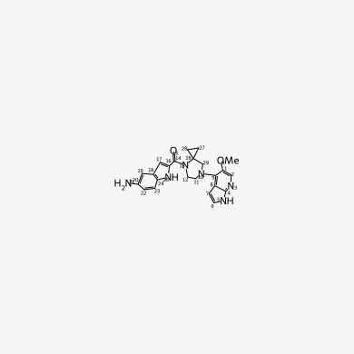 COc1cnc2[nH]ccc2c1N1CCN(C(=O)c2cc3cc(N)ccc3[nH]2)C2(CC2)C1